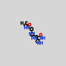 C=CC(=O)Nc1cccc(-c2nccc(-c3cc4c([nH]3)C3(CCCNC3)CNC4=O)n2)c1